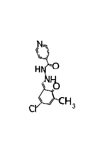 CC1=CC(Cl)=CC(=CNNC(=O)c2ccncc2)C1=O